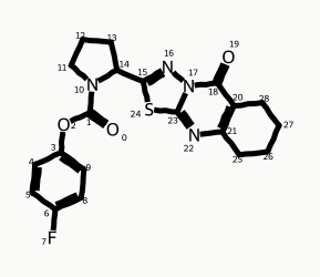 O=C(Oc1ccc(F)cc1)N1CCCC1c1nn2c(=O)c3c(nc2s1)CCCC3